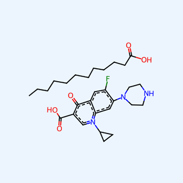 CCCCCCCCCCCC(=O)O.O=C(O)c1cn(C2CC2)c2cc(N3CCNCC3)c(F)cc2c1=O